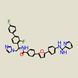 N=C(Nc1ccc(-c2ccc(-c3ccc(C(=O)N[C@@H](Cn4ccnc4)c4ccc(-c5ccc(F)cc5)cc4F)cc3)o2)cc1)c1ccccn1